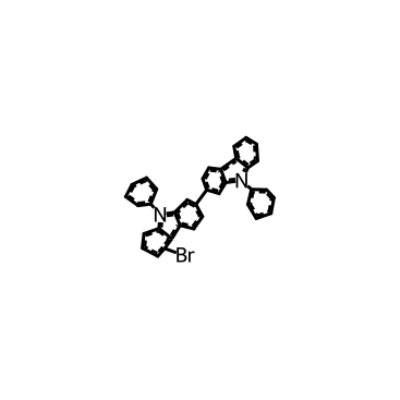 Brc1cccc2c1c1ccc(-c3ccc4c5ccccc5n(-c5ccccc5)c4c3)cc1n2-c1ccccc1